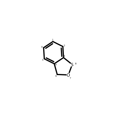 c1ccc2c(c1)COS2